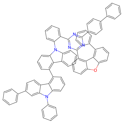 c1ccc(-c2ccc(-c3nc(-c4ccccc4-n4c5ccccc5c5c(-c6cccc7c6c6ccc(-c8ccccc8)cc6n7-c6ccccc6)cccc54)nc(-c4cccc5oc6cccc(-c7ccccc7)c6c45)n3)cc2)cc1